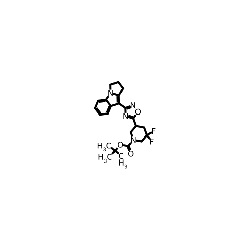 CC(C)(C)OC(=O)N1CC(c2nc(-c3c4n(c5ccccc35)CCC4)no2)CC(F)(F)C1